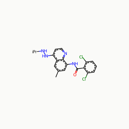 Cc1cc(NC(=O)c2c(Cl)cccc2Cl)c2nccc(NNC(C)C)c2c1